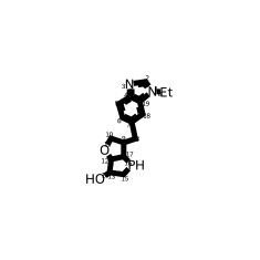 CCn1cnc2ccc(CC3COC4C(O)CPC34)cc21